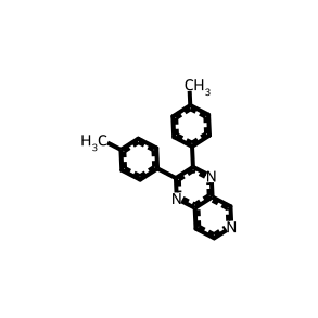 Cc1ccc(-c2nc3ccncc3nc2-c2ccc(C)cc2)cc1